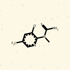 CN(C(N)=S)c1ncc(C(F)(F)F)cc1Cl